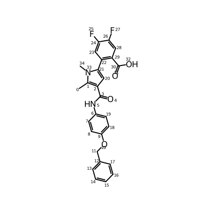 Cc1c(C(=O)Nc2ccc(OCc3ccccc3)cc2)cc(-c2cc(F)c(F)cc2C(=O)O)n1C